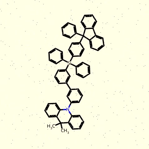 CC1(C)c2ccccc2N(c2cccc(-c3cccc([Si](c4ccccc4)(c4ccccc4)c4ccc(C5(c6ccccc6)c6ccccc6-c6ccccc65)cc4)c3)c2)c2ccccc21